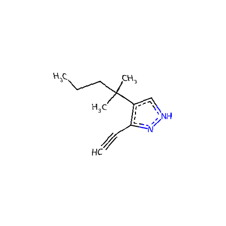 C#Cc1n[nH]cc1C(C)(C)CCC